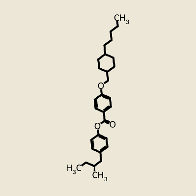 CCCCCC1CCC(COc2ccc(C(=O)Oc3ccc(C[C@@H](C)CC)cc3)cc2)CC1